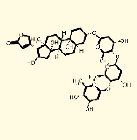 C[C@H]1O[C@@H](O[C@H]2[C@@H](O)C[C@H](O[C@H]3[C@@H](O)C[C@H](O[C@H]4CC[C@@]5(C)[C@H](CC[C@@H]6[C@@H]5CC[C@]5(C)[C@@H](C7=CC(=O)OC7)[C@H](O)C[C@]65O)C4)O[C@@H]3C)O[C@@H]2C)C[C@H](O)[C@@H]1O